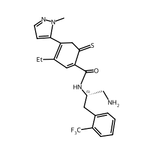 CCC1=C(c2ccnn2C)CC(=S)C(C(=O)N[C@H](CN)Cc2ccccc2C(F)(F)F)=C1